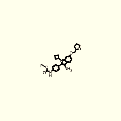 CC(C)OC(=O)Nc1ccc(-c2c(N)c3ccc(OCC4CCCO4)cc3n2C2CCC2)cc1